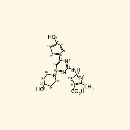 Cc1nc(Nc2nc(-c3ccc(O)cc3)cc(N3CCC(O)CC3)n2)sc1C(=O)O